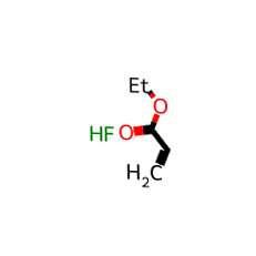 C=CC(=O)OCC.F